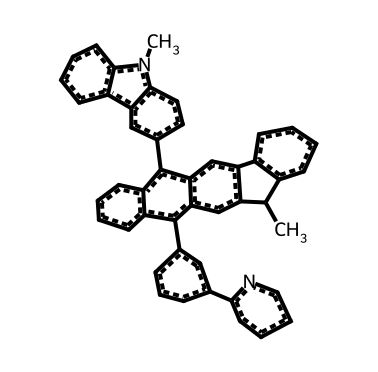 CC1c2ccccc2-c2cc3c(-c4ccc5c(c4)c4ccccc4n5C)c4ccccc4c(-c4cccc(-c5ccccn5)c4)c3cc21